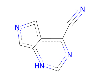 N#Cc1nc[nH]c2cncc1-2